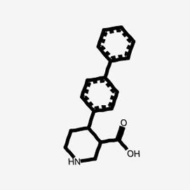 O=C(O)C1CNCCC1c1ccc(-c2ccccc2)cc1